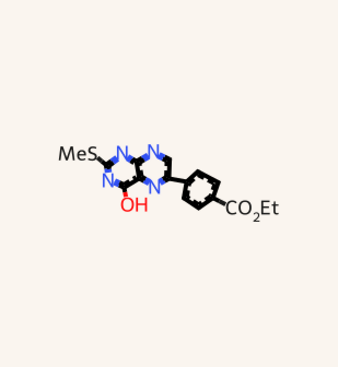 CCOC(=O)c1ccc(-c2cnc3nc(SC)nc(O)c3n2)cc1